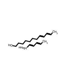 C/C=C/C=C/CCCCCCCO.CC=CC=CCCCCCCC